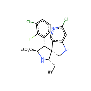 CCOC(=O)[C@@H]1N[C@@H](CC(C)C)[C@@]2(CNc3cc(Cl)ncc32)[C@H]1c1cccc(Cl)c1F